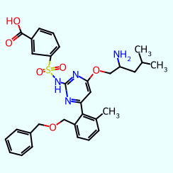 Cc1cccc(COCc2ccccc2)c1-c1cc(OCC(N)CC(C)C)nc(NS(=O)(=O)c2cccc(C(=O)O)c2)n1